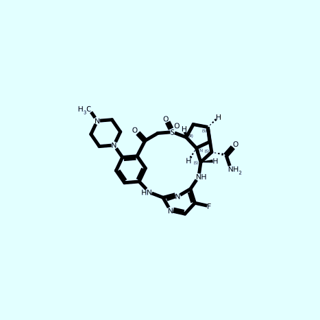 CN1CCN(c2ccc3cc2C(=O)CS(=O)(=O)[C@@H]2C[C@@H]4C[C@H]2[C@@H](Nc2nc(ncc2F)N3)[C@H]4C(N)=O)CC1